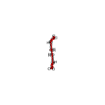 O=C(NCCCCNC(=O)NCCOCCOCCNS(=O)(=O)c1ccc(O[C@@H]2CCc3c(Cl)cc(Cl)cc32)cc1)NCCOCCOCCNS(=O)(=O)c1ccc(O[C@@H]2CCc3c(Cl)cc(Cl)cc32)cc1